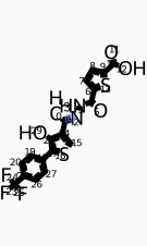 C/C(=N\NC(=O)c1ccc(C(=O)O)s1)c1csc(-c2ccc(C(F)(F)F)cc2)c1O